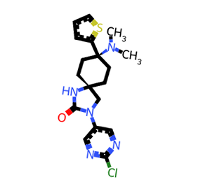 CN(C)[C@]1(c2cccs2)CC[C@@]2(CC1)CN(c1cnc(Cl)nc1)C(=O)N2